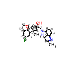 Cc1ccc2c(NC[C@@](O)(CC(C)(C)c3cc(F)cc4c3OCC4)C(F)(F)F)cccc2n1